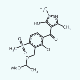 COC(C)OCc1c(S(C)(=O)=O)ccc(C(=O)c2c(C)nn(C)c2O)c1Cl